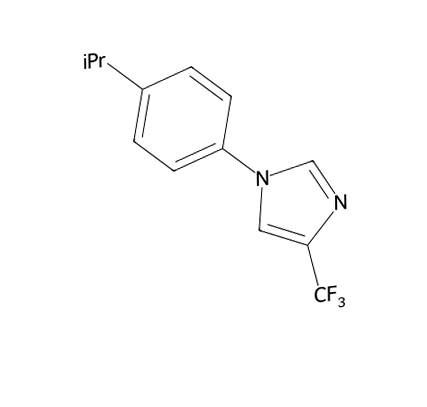 CC(C)c1ccc(-n2cnc(C(F)(F)F)c2)cc1